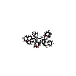 CC(C)CC[N+]1=C(/C=C/C=C2/N(C)c3cc4ccccc4cc3C2(Cc2ccccc2)Cc2ccccc2)C(Cc2ccccc2)(Cc2ccccc2)c2c1ccc1ccccc21